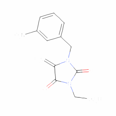 C=C1C(=O)N(CC(=O)O)C(=O)N1Cc1cccc([N+](=O)[O-])c1